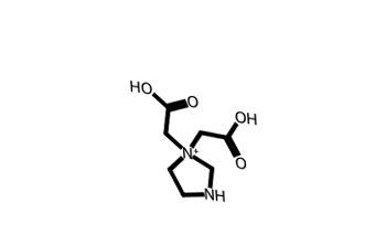 O=C(O)C[N+]1(CC(=O)O)CCNC1